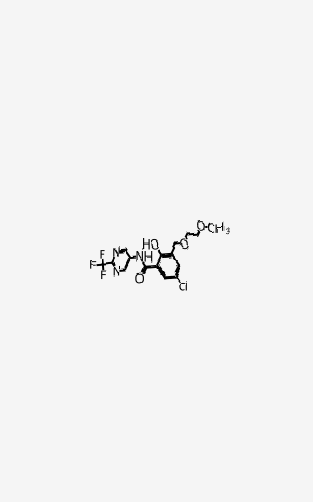 COCCOCc1cc(Cl)cc(C(=O)Nc2cnc(C(F)(F)F)nc2)c1O